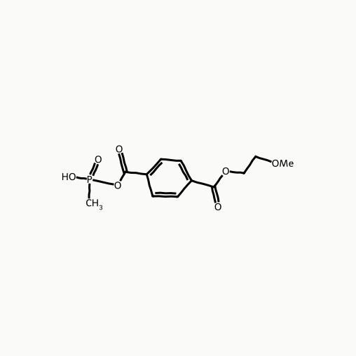 COCCOC(=O)c1ccc(C(=O)OP(C)(=O)O)cc1